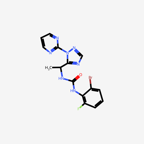 CC(NC(=O)Nc1c(F)cccc1Br)c1ncnn1-c1ncccn1